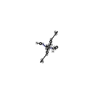 C=CC(=O)OCCCCCCOc1ccc(C(=O)Oc2cc(/C=N/Nc3nc4ccccc4s3)c(OC(=O)c3ccc(OCCCCCCOC(=O)C=C)cc3)c3oc(/C=C/C=N/c4ccc(C#N)cc4)nc23)cc1